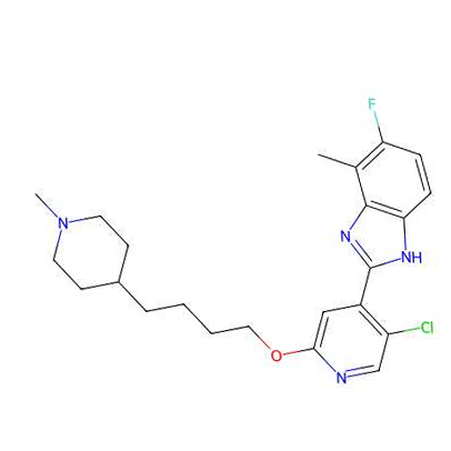 Cc1c(F)ccc2[nH]c(-c3cc(OCCCCC4CCN(C)CC4)ncc3Cl)nc12